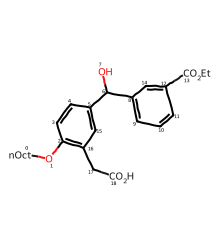 CCCCCCCCOc1ccc(C(O)c2cccc(C(=O)OCC)c2)cc1CC(=O)O